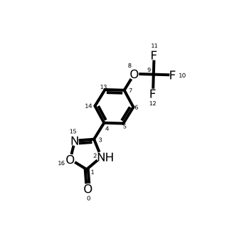 O=c1[nH]c(-c2ccc(OC(F)(F)F)cc2)no1